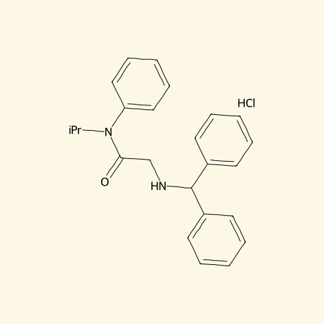 CC(C)N(C(=O)CNC(c1ccccc1)c1ccccc1)c1ccccc1.Cl